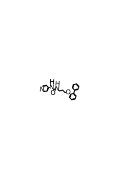 O=C(NCCCOc1ccccc1-c1ccccc1)Nc1ccncc1